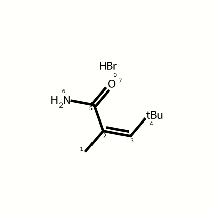 Br.CC(=CC(C)(C)C)C(N)=O